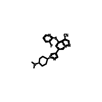 CN(C)[C@H]1CC[C@@H](n2cc(-c3cc(Sc4ncccc4F)c4c(C#N)cnn4c3)cn2)CC1